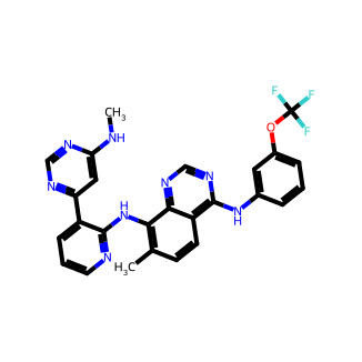 CNc1cc(-c2cccnc2Nc2c(C)ccc3c(Nc4cccc(OC(F)(F)F)c4)ncnc23)ncn1